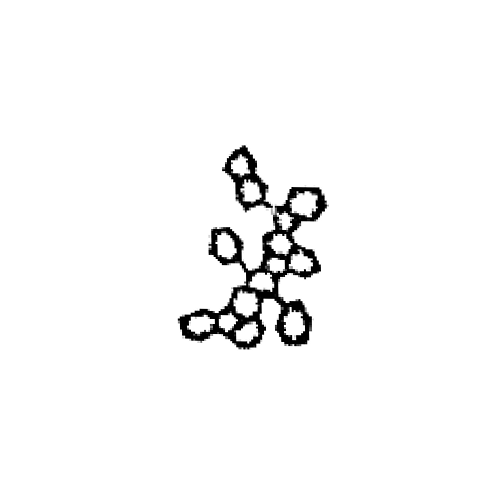 c1ccc(-c2c3cc4c5ccccc5c5cccc(c3c(-c3ccccc3)c3c6cccc7c6c(cc6c7c7ccccc7n6-c6ccc7ccccc7c6)c23)c54)cc1